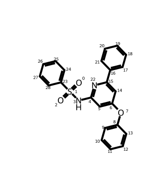 O=S(=O)(Nc1cc(Oc2ccccc2)cc(-c2ccccc2)n1)c1ccccc1